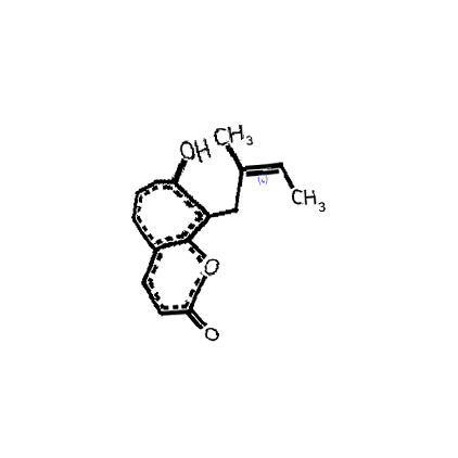 C/C=C(/C)Cc1c(O)ccc2ccc(=O)oc12